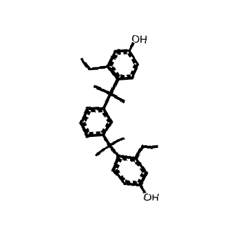 CCc1cc(O)ccc1C(C)(C)c1cccc(C(C)(C)c2ccc(O)cc2CC)c1